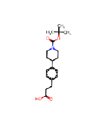 CC(C)(C)OC(=O)N1CCC(c2ccc(CCC(=O)O)cc2)CC1